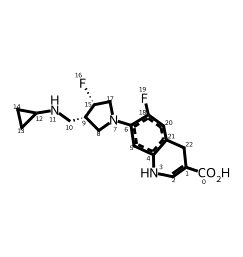 O=C(O)C1=CNc2cc(N3C[C@H](CNC4CC4)[C@H](F)C3)c(F)cc2C1